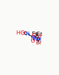 CCC1(CC)CC2(NC(=O)N(CCCCN3CCC(O)CC3)C2=O)c2cc(Br)ccc2O1